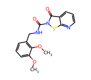 COc1cccc(CNC(=O)n2sc3ncccc3c2=O)c1OC